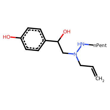 C=CCN(CC(O)c1ccc(O)cc1)NCCCCC